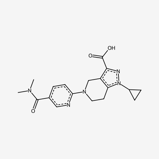 CN(C)C(=O)c1ccc(N2CCc3c(c(C(=O)O)nn3C3CC3)C2)nc1